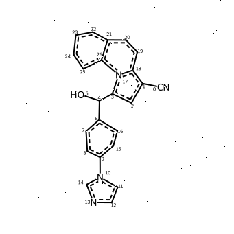 N#Cc1cc(C(O)c2ccc(-n3ccnc3)cc2)n2c1ccc1ccccc12